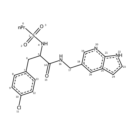 CCCS(=O)(=O)NC(Cc1ccc(Cl)cc1)C(=O)NCc1cnc2[nH]ccc2c1